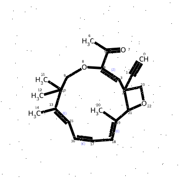 C#CC12/C=C(/C(C)=O)OCC(C)(C)/C(C)=C/C=C\C=C(/C)C1OC2